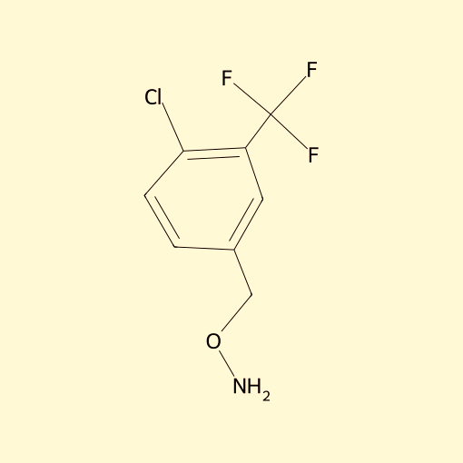 NOCc1ccc(Cl)c(C(F)(F)F)c1